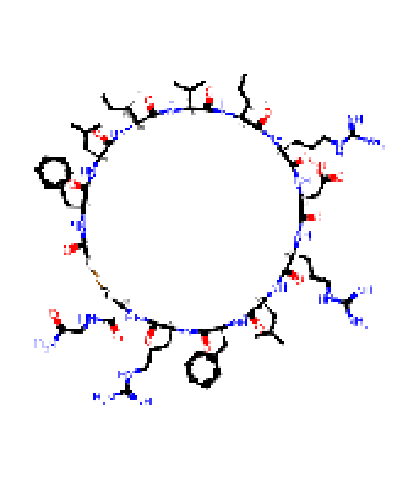 CC[C@H](C)[C@@H]1NC(=O)[C@H](CC(C)C)NC(=O)[C@H](Cc2ccccc2)NC(=O)CSC[C@@H](C(=O)NCC(N)=O)NC(=O)[C@H](CCCNC(=N)N)NC(=O)[C@H](Cc2ccccc2)NC(=O)[C@H](CC(C)C)NC(=O)[C@H](CCCNC(=N)N)NC(=O)[C@H](CC(=O)O)NC(=O)[C@H](CCCNC(=N)N)NC(=O)[C@H]([C@@H](C)CC)NC(=O)[C@H](C(C)C)NC1=O